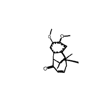 COc1cc2c(cc1OC)C13CC=CC(=O)C2C1(C)CCCC3(C)C